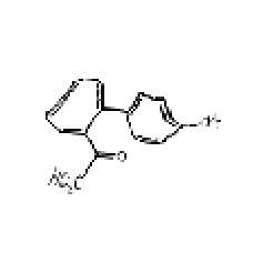 Cc1ccc(-c2ccccc2C(=O)C(=O)O)cc1